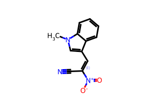 Cn1cc(/C=C(\C#N)[N+](=O)[O-])c2ccccc21